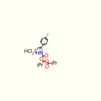 CC(C)C(=O)O[C@@H](OC(=O)NC[C@H](CC(=O)O)c1ccc(F)cc1)C(C)C